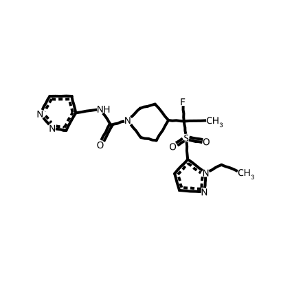 CCn1nccc1S(=O)(=O)C(C)(F)C1CCN(C(=O)Nc2ccnnc2)CC1